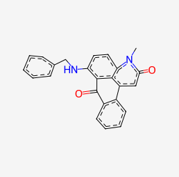 Cn1c(=O)cc2c3c(c(NCc4ccccc4)ccc31)C(=O)c1ccccc1-2